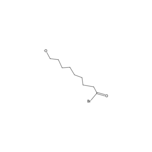 [O]CCCCCCCCC(=O)Br